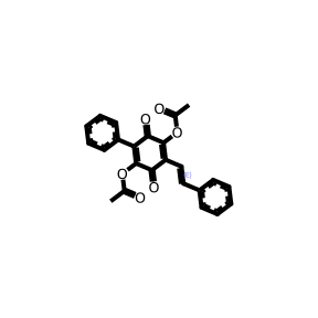 CC(=O)OC1=C(/C=C/c2ccccc2)C(=O)C(OC(C)=O)=C(c2ccccc2)C1=O